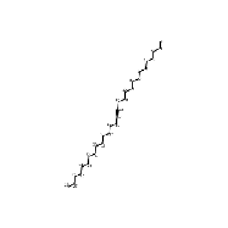 [CH2]CCCCCCCCCCCCC#CCCCCCCCCCCCCC[CH2]